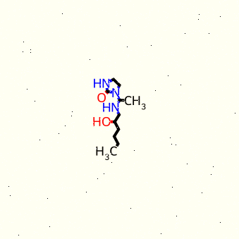 CCCCC(O)CNC(C)N1CCNC1=O